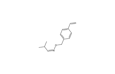 C=Cc1ccc(CO/N=[C]\C(C)C)cc1